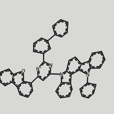 c1ccc(-c2cccc(-c3nc(-c4cccc5c4oc4ccccc45)cc(-n4c5ccccc5c5c4ccc4c6ccccc6n(-c6ccccc6)c45)n3)c2)cc1